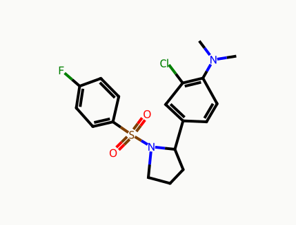 CN(C)c1ccc(C2CCCN2S(=O)(=O)c2ccc(F)cc2)cc1Cl